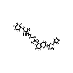 CCCN(CCc1cccs1)[C@H]1CCc2c(cccc2OC(=O)CCCNC(=O)CCc2ccccc2)C1